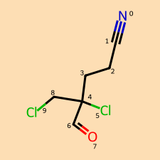 N#CCCC(Cl)(C=O)CCl